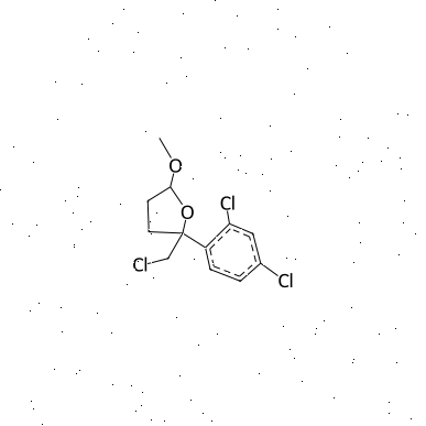 COC1CCC(CCl)(c2ccc(Cl)cc2Cl)O1